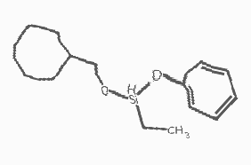 CC[SiH](OCC1CCCCC1)Oc1ccccc1